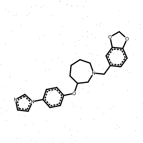 c1cn(-c2ccc(OC3CCCCN(Cc4ccc5c(c4)OCO5)C3)cc2)cn1